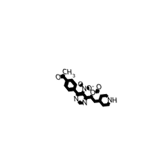 CC(=O)c1ccc(-c2ncnc(C(CC3CCNCC3)OC=O)c2[N+](=O)[O-])cc1